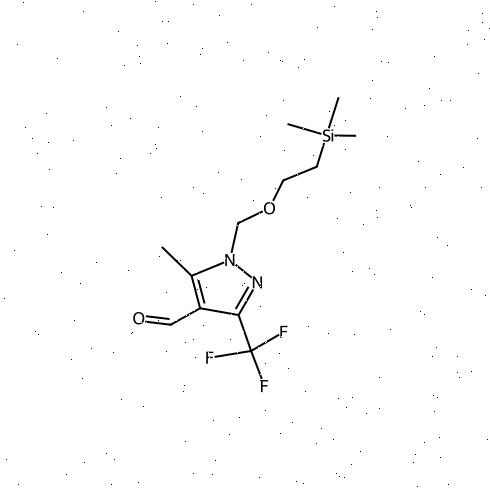 Cc1c(C=O)c(C(F)(F)F)nn1COCC[Si](C)(C)C